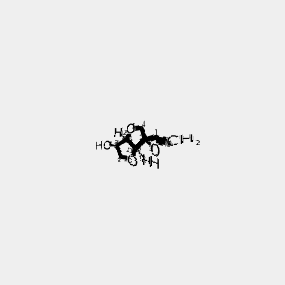 C=C[C@@]1(O)CO[C@@H]2[C@H](O)CO[C@@H]21